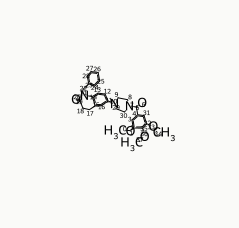 COc1cc(C(=O)N2CCN(c3ccc4c(c3)CCC(=O)N4Cc3ccccc3)CC2)cc(OC)c1OC